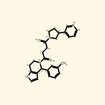 Cc1cccc(C2c3ccsc3CCN2C(=O)CCC(=O)N2CCC(c3cccnc3)C2)c1